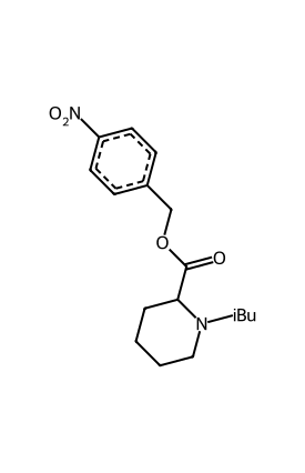 CCC(C)N1CCCCC1C(=O)OCc1ccc([N+](=O)[O-])cc1